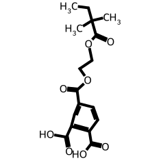 CCC(C)(C)C(=O)OCCOC(=O)c1ccc(C(=O)O)c(C(=O)O)c1